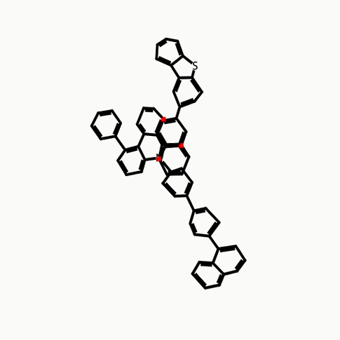 c1ccc(-c2ccccc2-c2c(-c3ccccc3)cccc2N(c2ccc(-c3ccc(-c4cccc5ccccc45)cc3)cc2)c2ccc(-c3ccc4sc5ccccc5c4c3)cc2)cc1